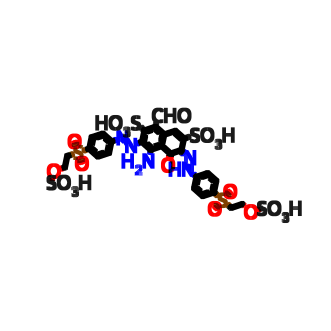 Nc1c(N=Nc2ccc(S(=O)(=O)CCOS(=O)(=O)O)cc2)c(S(=O)(=O)O)c(C=O)c2c1C(=O)/C(=N\Nc1ccc(S(=O)(=O)CCOS(=O)(=O)O)cc1)C(S(=O)(=O)O)=C2